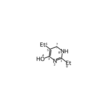 CCC1=NC(O)=C(CC)[CH]N1